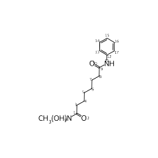 CN(O)C(=O)CCCCCCC(=O)Nc1ccccc1